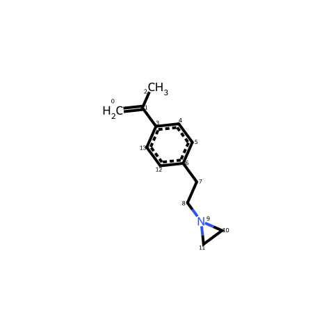 C=C(C)c1ccc(CCN2CC2)cc1